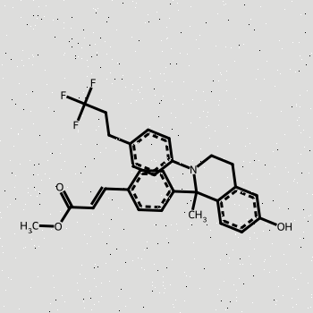 COC(=O)/C=C/c1ccc(C2(C)c3ccc(O)cc3CCN2c2ccc(CCC(F)(F)F)cc2)cc1